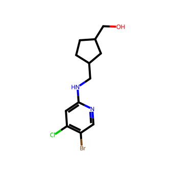 OCC1CCC(CNc2cc(Cl)c(Br)cn2)C1